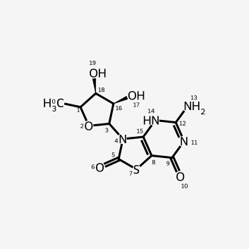 CC1OC(n2c(=O)sc3c(=O)nc(N)[nH]c32)[C@H](O)[C@@H]1O